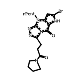 CCCCCn1c2cc(Br)[nH]c2c(=O)n2c(CCC(=O)N3CCCC3)nnc12